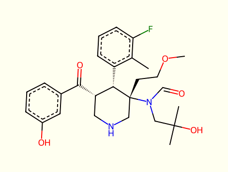 COCC[C@@]1(N(C=O)CC(C)(C)O)CNC[C@H](C(=O)c2cccc(O)c2)[C@@H]1c1cccc(F)c1C